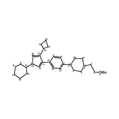 COCCN1CCN(c2ccc(-c3cn(C4CCCCC4)nc3C3CCC3)cn2)CC1